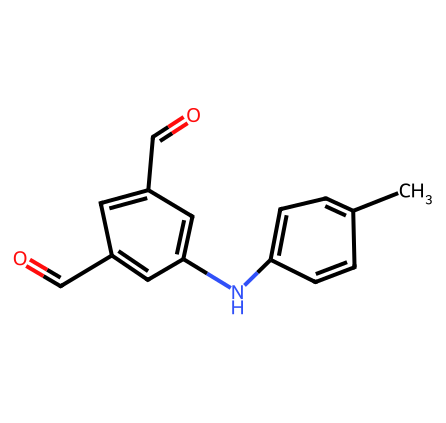 Cc1ccc(Nc2cc(C=O)cc(C=O)c2)cc1